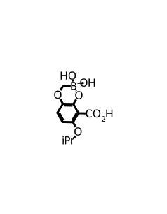 CC(C)Oc1ccc2c(c1C(=O)O)O[B-](O)(O)CO2